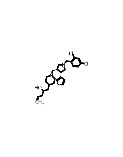 C=CCC(O)CC1CCN(C[C@H]2CN(Cc3ccc(Cl)cc3Cl)C[C@@H]2c2ccsc2)CC1